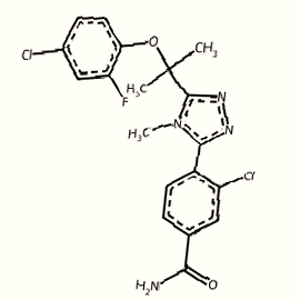 Cn1c(-c2ccc(C(N)=O)cc2Cl)nnc1C(C)(C)Oc1ccc(Cl)cc1F